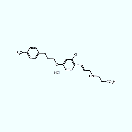 Cl.O=C(O)CCNCC=Cc1ccc(OCCCc2ccc(C(F)(F)F)cc2)cc1Cl